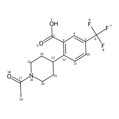 O=C(O)c1cc(C(F)(F)F)ccc1C1CCN(C(=O)I)CC1